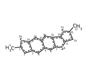 Cc1cc2cc3cc4sc5cc(C)sc5c4cc3cc2s1